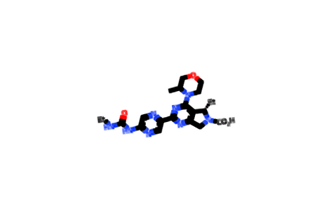 CCNC(=O)Nc1cnc(-c2nc3c(c(N4CCOCC4C)n2)[C@H](CC)N(C(=O)O)C3)cn1